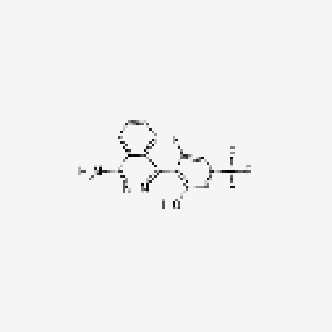 Nc1nnc(-c2c(O)cc(C(F)(F)F)cc2F)c2ccccc12